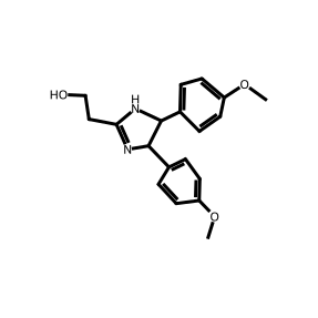 COc1ccc(C2N=C(CCO)NC2c2ccc(OC)cc2)cc1